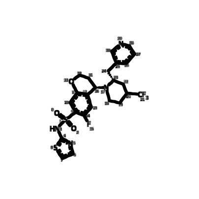 O=S(=O)(Nc1nccs1)c1cc2c(cc1F)[C@H](N1CCC(C(F)(F)F)C[C@H]1Cc1cccnc1)CCO2